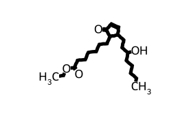 CCCCCC(O)CCC1C=CC(=O)C1CCCCCCC(=O)OCC